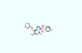 CCc1cc(C)c2c(ccn2S(=O)(=O)c2ccc(C)cc2)c1COC1CCCCO1